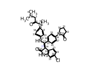 CN(C)CC(=O)N(C)c1ccc(N/C(=C2\C(=O)Nc3cc(Cl)ccc32)c2ccc(N3CCCC3=O)cc2)cc1